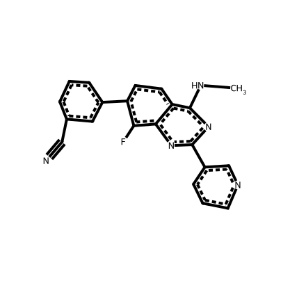 CNc1nc(-c2cccnc2)nc2c(F)c(-c3cccc(C#N)c3)ccc12